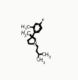 Cc1cc(F)ccc1C1(C)CCN(CCC(C)C)C1